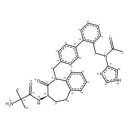 CC(=O)N(Cc1ccccc1-c1ccc(CN2C(=O)[C@H](NC(=O)C(C)(C)N)CCc3ccccc32)cc1)c1c[nH]cn1